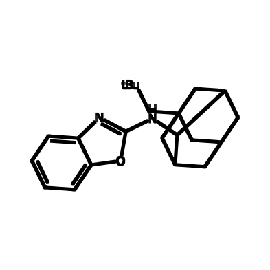 CC(C)(C)CC12CC3CC(C1)C(Nc1nc4ccccc4o1)C(C3)C2